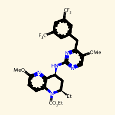 CCOC(=O)N1c2ccc(OC)nc2[C@@H](Nc2ncc(OC)c(Cc3cc(C(F)(F)F)cc(C(F)(F)F)c3)n2)C[C@H]1CC